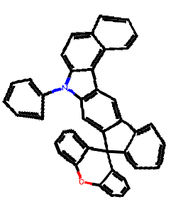 c1ccc(-n2c3cc4c(cc3c3c5ccccc5ccc32)-c2ccccc2C42c3ccccc3Oc3ccccc32)cc1